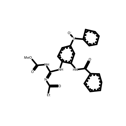 CCC(=O)/N=C(/NC(=O)OC)Nc1ccc([S+]([O-])c2ccccc2)cc1NC(=O)c1ccccc1